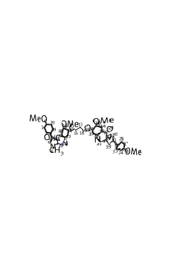 COc1ccc(C2=CN(C)C(/C=N\c3cc(OCCCOc4cc5c(cc4OC)C(=O)N4C=C(c6ccc(OC)cc6)CC4C=N5)c(OC)cc3C=O)C2)cc1